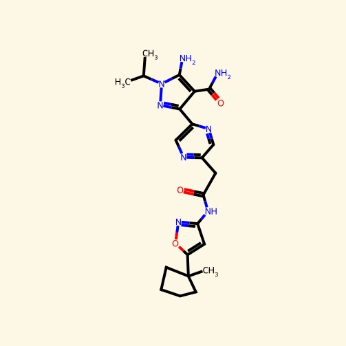 CC(C)n1nc(-c2cnc(CC(=O)Nc3cc(C4(C)CCCC4)on3)cn2)c(C(N)=O)c1N